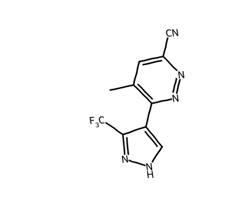 Cc1cc(C#N)nnc1-c1c[nH]nc1C(F)(F)F